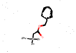 CC(C)[Si](CC(=O)OCc1ccccc1)(C(C)C)C(C)C